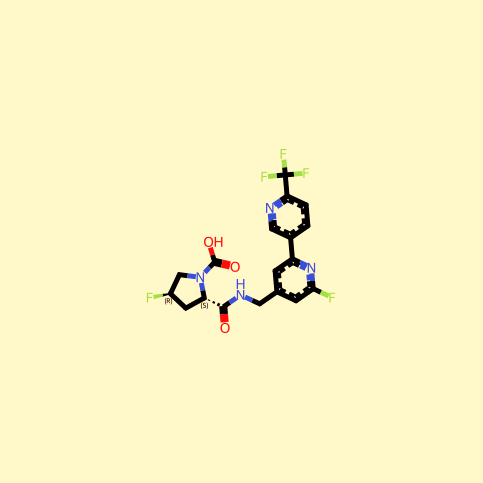 O=C(NCc1cc(F)nc(-c2ccc(C(F)(F)F)nc2)c1)[C@@H]1C[C@@H](F)CN1C(=O)O